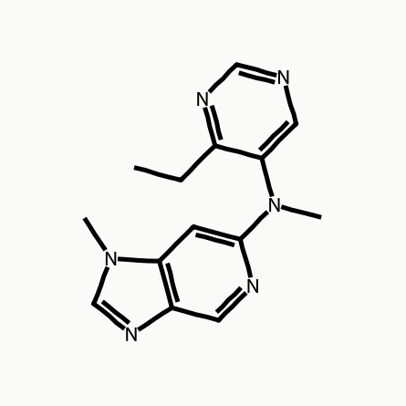 CCc1ncncc1N(C)c1cc2c(cn1)ncn2C